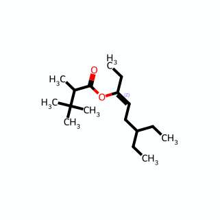 CC/C(=C/CC(CC)CC)OC(=O)C(C)C(C)(C)C